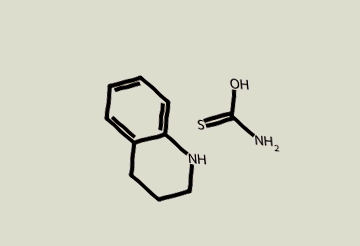 NC(O)=S.c1ccc2c(c1)CCCN2